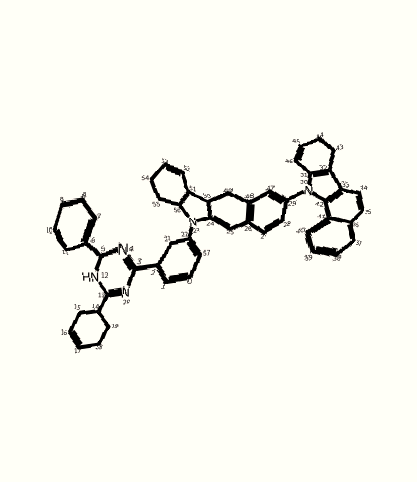 C1=CC(C2=NC(C3=CCCC=C3)NC(C3CC=CCC3)=N2)CC(N2C3=Cc4ccc(-n5c6c(c7ccc8ccccc8c75)CCC=C6)cc4CC3C3C=CCCC32)=C1